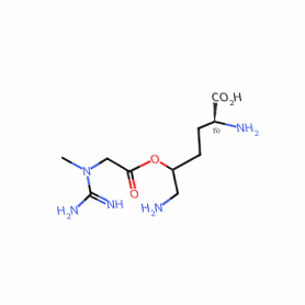 CN(CC(=O)OC(CN)CC[C@H](N)C(=O)O)C(=N)N